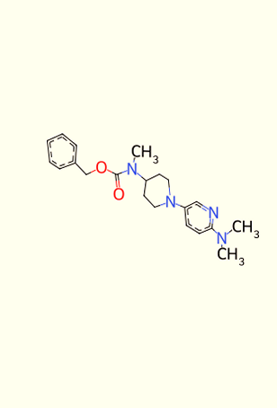 CN(C)c1ccc(N2CCC(N(C)C(=O)OCc3ccccc3)CC2)cn1